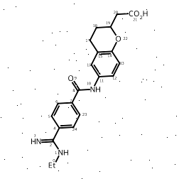 CCNC(=N)c1ccc(C(=O)Nc2ccc3c(c2)CCC(CC(=O)O)O3)cc1